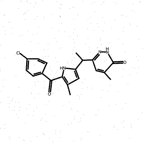 Cc1cc(C(C)c2cc(C)c(=O)[nH]n2)[nH]c1C(=O)c1ccc(Cl)cc1